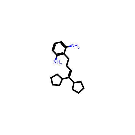 Nc1cccc(N)c1CCC=C(C1CCCC1)C1CCCC1